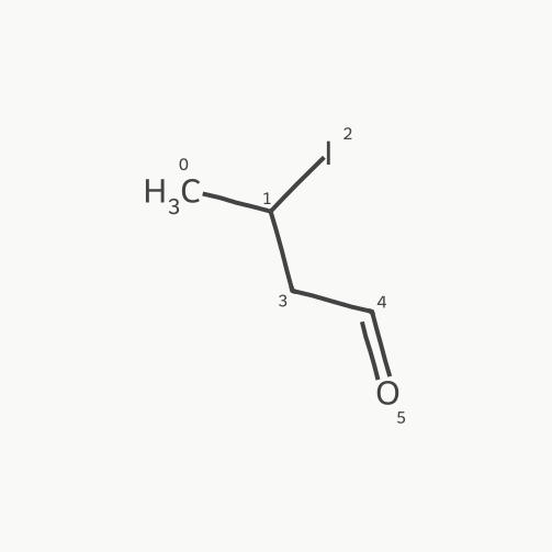 CC(I)CC=O